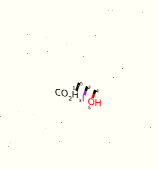 CC(=O)O.CI.CO